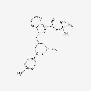 CC(=O)OC(COc1ccc(C)cc1)Cn1cc(C(=O)OC(C)(C)C)c2ccccc21